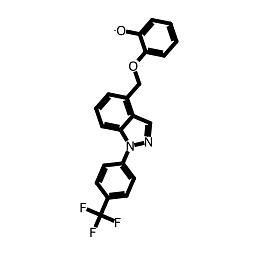 [O]c1ccccc1OCc1cccc2c1cnn2-c1ccc(C(F)(F)F)cc1